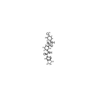 COc1ccc(NS(=O)(=O)c2cccc(NC(=O)c3cc4c(s3)CCC4)c2)cc1